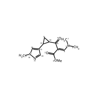 COC(=O)/C(=C/N(C)C)C(=O)C1CC1c1cnn(C)c1